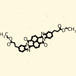 CCOC(=O)CCc1ccc2c(c1)nc1c3ccc4c(=O)n5c6cc(CCC(=O)OCC)ccc6nc5c5ccc(c(=O)n21)c3c45